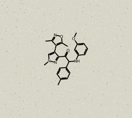 COc1cccc(NC(C(=O)c2nn(C)cc2-c2c(C)noc2C)c2ccc(C)cc2)c1